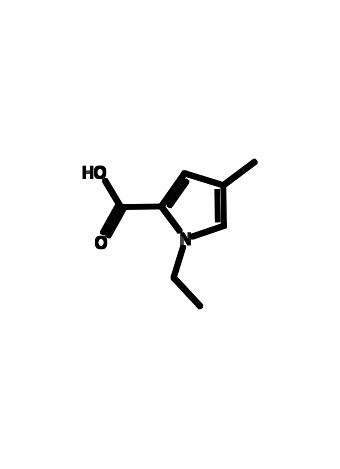 CCn1cc(C)cc1C(=O)O